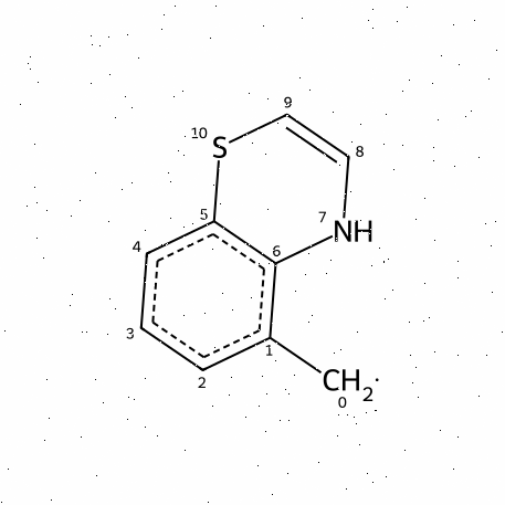 [CH2]c1cccc2c1NC=CS2